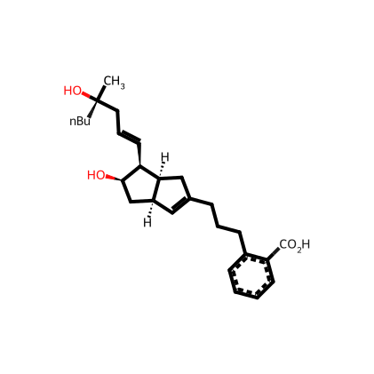 CCCC[C@](C)(O)C/C=C/[C@H]1[C@H]2CC(CCCc3ccccc3C(=O)O)=C[C@H]2C[C@H]1O